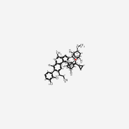 Cc1nc2c(F)c(-c3cccc(Cl)c3Cl)c(CCC#N)cc2c2c1cc([C@H]1[C@H]3C[C@H](C[C@@H]3OC(F)(F)F)N1C(=O)C1CC1)n2[C@H]1[C@H]2CN[C@@H]1C2